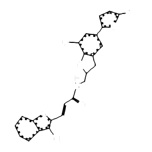 CC(=O)c1ccc(-c2cc(Cl)c3c(c2)CC(CNC(=O)C=Cc2sc4ccccc4c2Cl)O3)s1